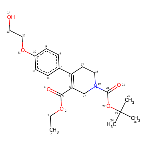 CCOC(=O)C1=C(c2ccc(OCCO)cc2)CCN(C(=O)OC(C)(C)C)C1